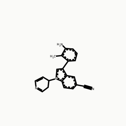 Cc1c(N)cccc1-c1cn(C2C=CN=CC2)c2ccc(C#N)cc12